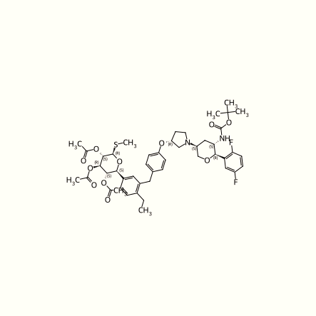 CCc1ccc([C@@H]2O[C@H](SC)[C@@H](OC(C)=O)[C@H](OC(C)=O)[C@H]2OC(C)=O)cc1Cc1ccc(O[C@@H]2CCN([C@@H]3CO[C@H](c4cc(F)ccc4F)[C@@H](NC(=O)OC(C)(C)C)C3)C2)cc1